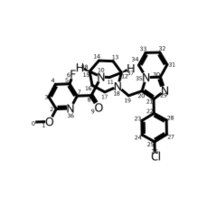 COc1ccc(F)c(C(=O)N2C[C@@H]3CC[C@H]2CCN3Cc2c(-c3ccc(Cl)cc3)nc3ccccn23)n1